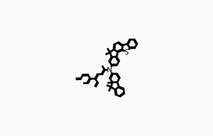 C=C\C=C/C(=C\C)C(/C=C)=C/C=C(\C)N(C1=CC2(C)C(C=C1)c1ccccc1C2(C)C)c1ccc2c(c1)C(C)(C)c1ccc3c(sc4ccccc43)c1-2